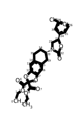 CCOC(=O)C1(C(=O)OCC)Oc2cc3c(cc2O1)C[C@@H](N1C[C@@H](c2cccc(Cl)c2)OC1=O)CC3